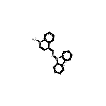 CN1C=CC(=CN=[N+]2c3ccccc3-c3ccccc32)c2ccccc21